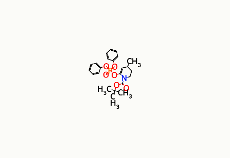 CC1C=C(OP(=O)(Oc2ccccc2)Oc2ccccc2)N(C(=O)OC(C)(C)C)CC1